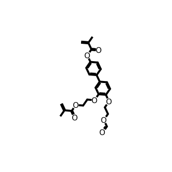 C=C(C)C(=O)OCCOc1cc(-c2ccc(OC(=O)C(=C)C)cc2)ccc1OCCOC=O